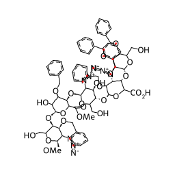 COC(=O)C1O[C@@H](O[C@@H]2C(CO)O[C@H](OC)C(N=[N+]=[N-])[C@@H]2OCc2ccccc2)C(O)[C@@H](OCc2ccccc2)[C@H]1O[C@@H]1OC(CO)[C@@H](O[C@@H]2OC(C(=O)O)[C@@H](O[C@H]3OC(CO)[C@@H](OCc4ccccc4)[C@@H](OCc4ccccc4)C3N=[N+]=[N-])[C@@H](OCc3ccccc3)C2OCc2ccccc2)[C@H](O)C1N=[N+]=[N-]